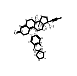 CC#C[C@]1(O)CC[C@H]2[C@@H]3CCC4=CC(=O)CCC4=C3[C@@H](c3ccc4c(c3)OC3(CCCC3)O4)C[C@@]21C